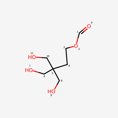 O=COCCC(CO)(CO)CO